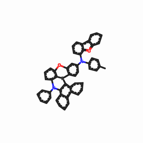 Cc1ccc(N(c2ccc3c(c2)Oc2cccc4c2B3c2c(c3ccccc3c3ccccc23)N4c2ccccc2)c2cccc3c2oc2ccccc23)cc1